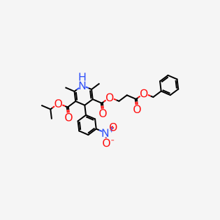 CC1=C(C(=O)OCCC(=O)OCc2ccccc2)C(c2cccc([N+](=O)[O-])c2)C(C(=O)OC(C)C)=C(C)N1